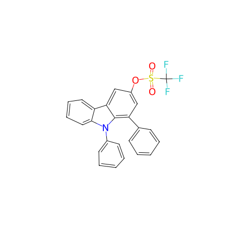 O=S(=O)(Oc1cc(-c2ccccc2)c2c(c1)c1ccccc1n2-c1ccccc1)C(F)(F)F